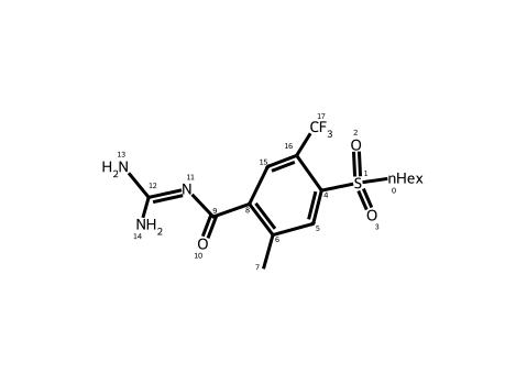 CCCCCCS(=O)(=O)c1cc(C)c(C(=O)N=C(N)N)cc1C(F)(F)F